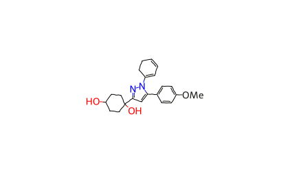 COc1ccc(-c2cc(C3(O)CCC(O)CC3)nn2C2=CC=CCC2)cc1